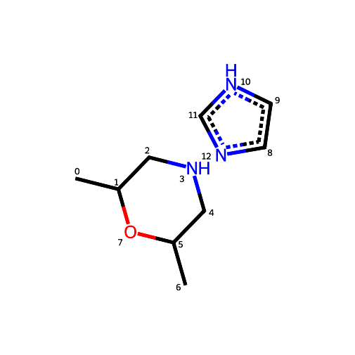 CC1CNCC(C)O1.c1c[nH]cn1